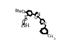 COc1ccc(-c2cnc(-c3cc[n+](Cc4cccc(C)c4)cc3)o2)cc1SOOO